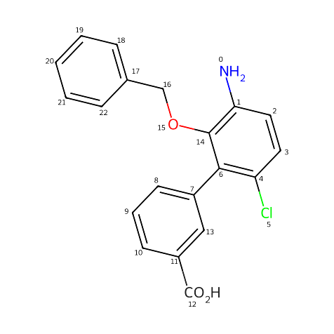 Nc1ccc(Cl)c(-c2cccc(C(=O)O)c2)c1OCc1ccccc1